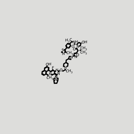 CCc1cccc2cc(O)cc(-c3ncc4c(N5CC6CCC(C5)N6)nc(OC[C@H](C)N5CCC(CC6CN(c7cc([C@H](C(=O)N8C[C@H](O)C[C@H]8C(=O)N[C@@H](C)c8ccc(-c9scnc9C)cc8)C(C)C)on7)C6)CC5)nc4c3F)c12